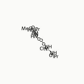 COC(=O)N[C@H](C(=O)N1CCC[C@H]1C1=NCC(c2ccc3cc(-c4ccc(-c5[nH]c(CCCCNC(=O)CC(C)C)nc5Cl)cc4)ccc3c2)N1)C(C)C